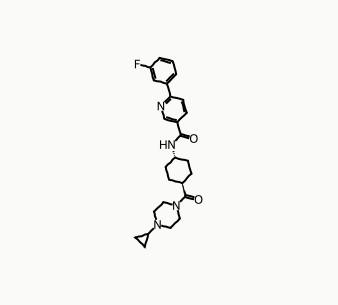 O=C(N[C@H]1CC[C@H](C(=O)N2CCN(C3CC3)CC2)CC1)c1ccc(-c2cccc(F)c2)nc1